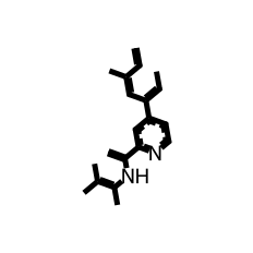 C=C/C(C)=C\C(=C/C)c1ccnc(C(=C)NC(C)=C(C)C)c1